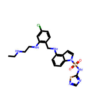 CCNCCNc1cc(Cl)ccc1CNc1cccc2c1ccn2S(=O)(=O)Nc1ncns1